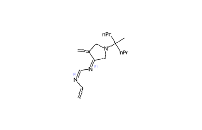 C=C/N=C\N=C1\CN(C(C)(CCC)CCC)CC1=C